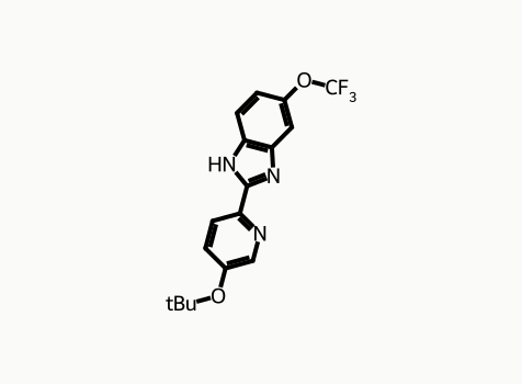 CC(C)(C)Oc1ccc(-c2nc3cc(OC(F)(F)F)ccc3[nH]2)nc1